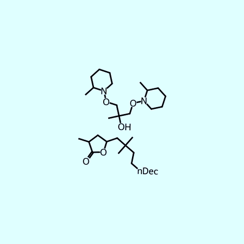 CC1CCCCN1OCC(C)(O)CON1CCCCC1C.CCCCCCCCCCCCC(C)(C)CC1CC(C)C(=O)O1